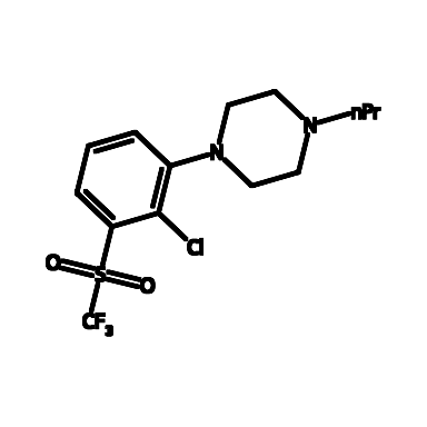 CCCN1CCN(c2cccc(S(=O)(=O)C(F)(F)F)c2Cl)CC1